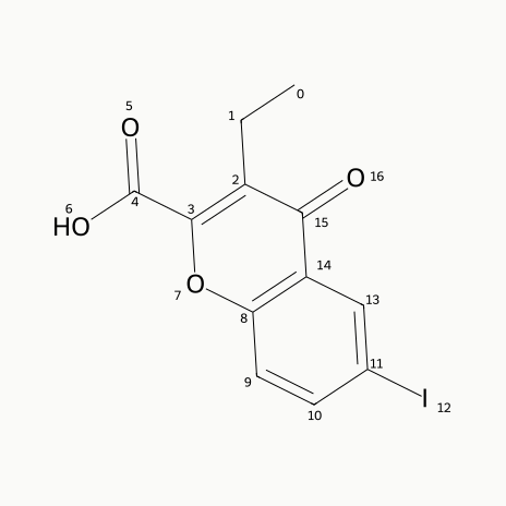 CCc1c(C(=O)O)oc2ccc(I)cc2c1=O